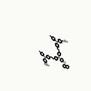 CCCCc1ccc(N(c2ccc(C)cc2)c2ccc(/C=C/c3ccc(N(c4ccc(/C=C/c5ccc(N(c6ccc(C)cc6)c6ccc(CCCC)cc6)cc5)cc4)c4ccc(Oc5cccc6ccccc56)cc4)cc3)cc2)cc1